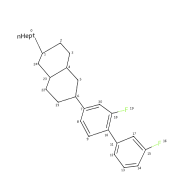 CCCCCCCC1CCC2CC(c3ccc(-c4cccc(F)c4)c(F)c3)CCC2C1